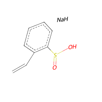 C=Cc1ccccc1S(=O)O.[NaH]